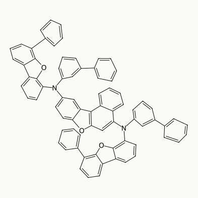 c1ccc(-c2cccc(N(c3ccc4oc5cc(N(c6cccc(-c7ccccc7)c6)c6cccc7c6oc6c(-c8ccccc8)cccc67)c6ccccc6c5c4c3)c3cccc4c3oc3c(-c5ccccc5)cccc34)c2)cc1